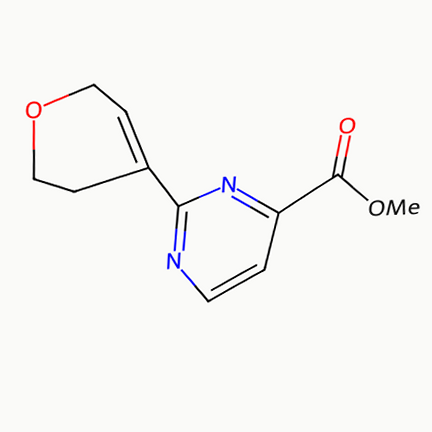 COC(=O)c1ccnc(C2=CCOCC2)n1